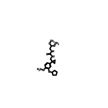 COc1ccc(C2(CNC(=O)NCC(OC)OC)CC2)cc1OC1CCCC1